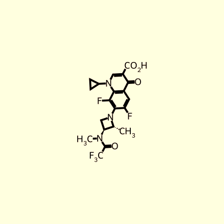 C[C@@H]1[C@@H](N(C)C(=O)C(F)(F)F)CN1c1c(F)cc2c(=O)c(C(=O)O)cn(C3CC3)c2c1F